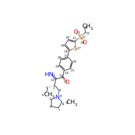 CC[C@@H](CN1CCC[C@H]1C)C(=N)C(=O)c1ccc(-c2ccc(S(=O)(=O)CC)s2)cc1